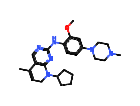 COc1cc(N2CCN(C)CC2)ccc1Nc1ncc2c(n1)N(C1CCCC1)CC=C2C